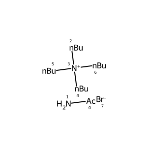 CC(N)=O.CCCC[N+](CCCC)(CCCC)CCCC.[Br-]